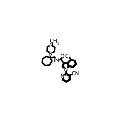 CN1CCN(C2(CNC(=O)c3cn(-c4ncccc4C#N)c4cccc(Cl)c34)CCCCCC2)CC1